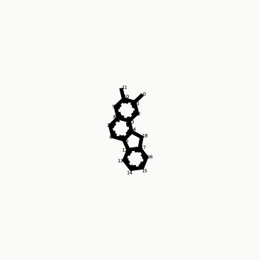 Cc1[c]c2c3c(ccc2cc1C)-c1ccccc1C3